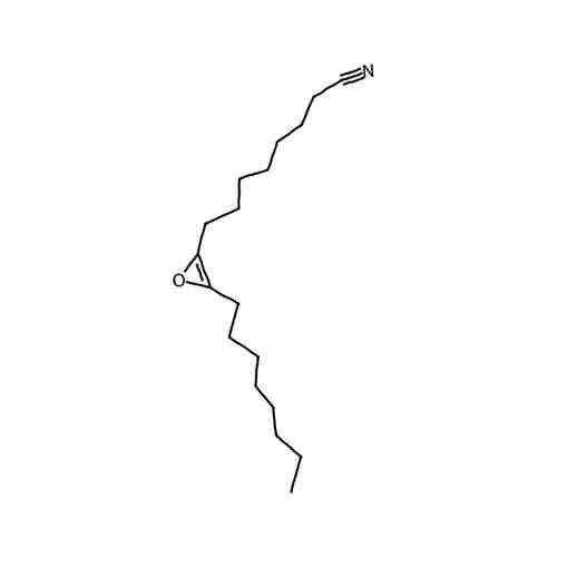 CCCCCCCCC1=C(CCCCCCCC#N)O1